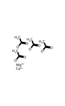 CC(=O)[O-].CC(=O)[O-].CC(=O)[O-].CC(=O)[O-].[Ca+2].[Mg+2]